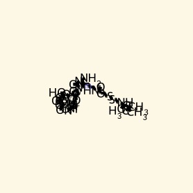 CC(C)(C)OC(=O)NCCSSCCOC(=O)NC/C=C/c1cn([C@H]2CC(OCN=[N+]=[N-])[C@@H](COP(=O)(O)OP(=O)(O)OP(=O)(O)O)O2)c(=O)nc1N